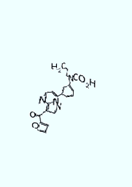 C=CCN(C(=O)O)c1cccc(-c2ccnc3c(C(=O)c4ccco4)cnn23)c1